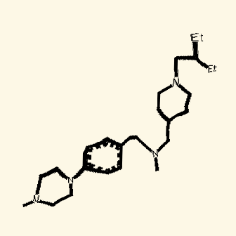 CCC(CC)CN1CCC(CN(C)Cc2ccc(N3CCN(C)CC3)cc2)CC1